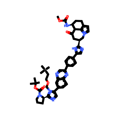 COC(=O)N[C@H]1CCc2ccn3c2C1C(=O)C[C@H](c1ncc(-c2ccc(-c4cnc5cc(-c6cnc([C@@H]7CCCN7C(=O)OC(C)(C)C)n6COCC[Si](C)(C)C)ccc5n4)cc2)[nH]1)C3